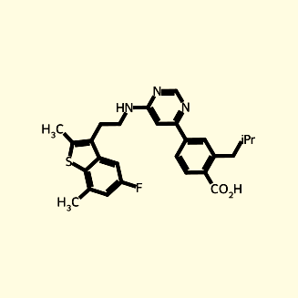 Cc1sc2c(C)cc(F)cc2c1CCNc1cc(-c2ccc(C(=O)O)c(CC(C)C)c2)ncn1